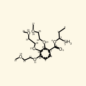 CCC([SiH3])OC(=O)c1ccc(OCCOC)c(OCCOC)c1OCCOC